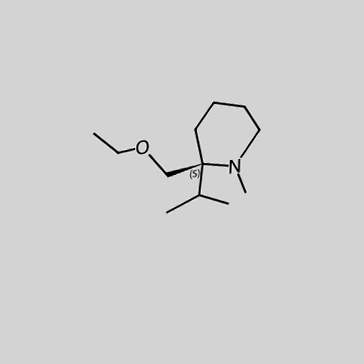 CCOC[C@@]1(C(C)C)CCCCN1C